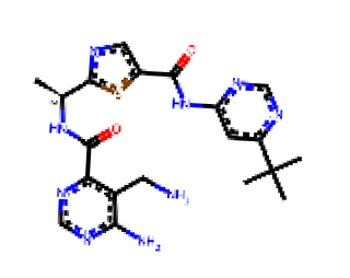 C[C@H](NC(=O)c1ncnc(N)c1CN)c1ncc(C(=O)Nc2cc(C(C)(C)C)ncn2)s1